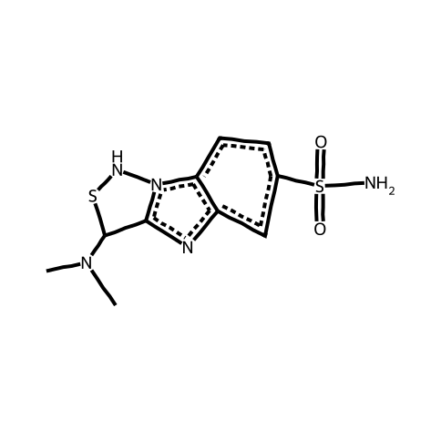 CN(C)C1SNn2c1nc1cc(S(N)(=O)=O)ccc12